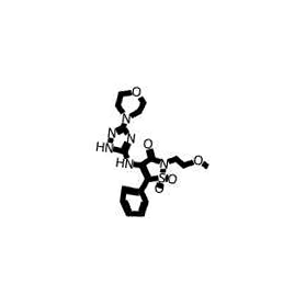 COCCN1C(=O)C(Nc2nc(N3CCOCC3)n[nH]2)=C(c2ccccc2)S1(=O)=O